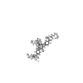 CC(C)(C)OC(=O)N[C@@H](Cc1ccc(N2CCN(CC3CCOCC3)CC2=O)cc1)C(=O)Nc1ccc(C(=O)OC(C)(C)C)cc1